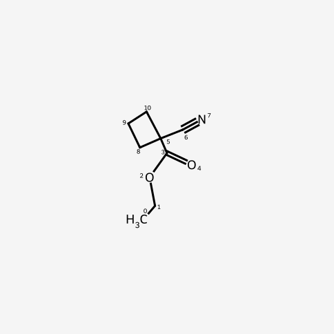 CCOC(=O)C1(C#N)CCC1